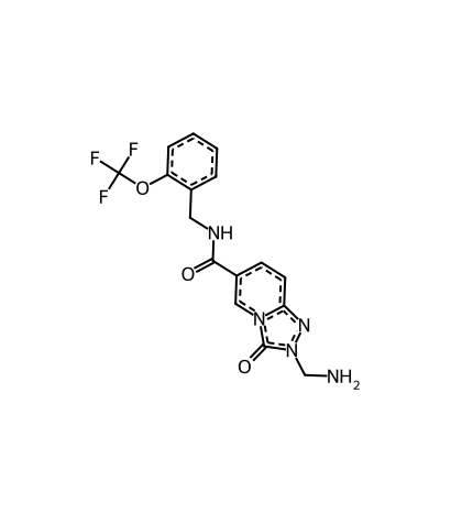 NCn1nc2ccc(C(=O)NCc3ccccc3OC(F)(F)F)cn2c1=O